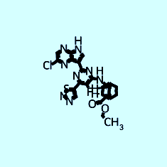 CCOC(=O)[C@@H]1C2CCC(CC2)[C@H]1Nc1nc(-c2c[nH]c3ncc(Cl)nc23)nc(-c2cnns2)c1F